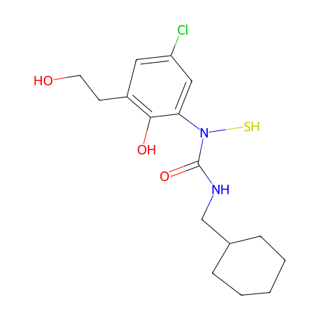 O=C(NCC1CCCCC1)N(S)c1cc(Cl)cc(CCO)c1O